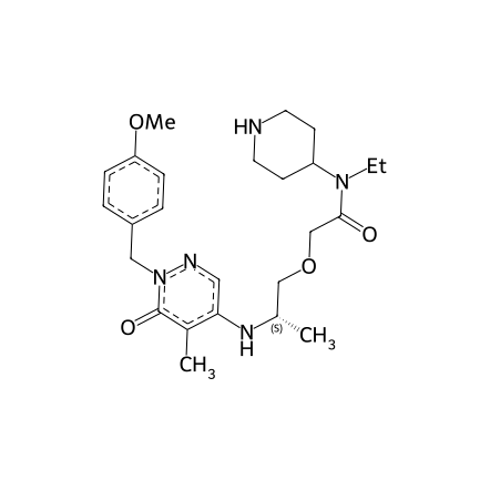 CCN(C(=O)COC[C@H](C)Nc1cnn(Cc2ccc(OC)cc2)c(=O)c1C)C1CCNCC1